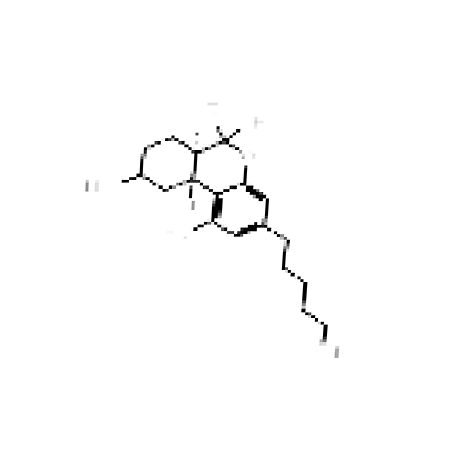 CCCCCCc1cc(O)c2c(c1)OC(C)(C)[C@@H]1CCC(C)C[C@@H]21